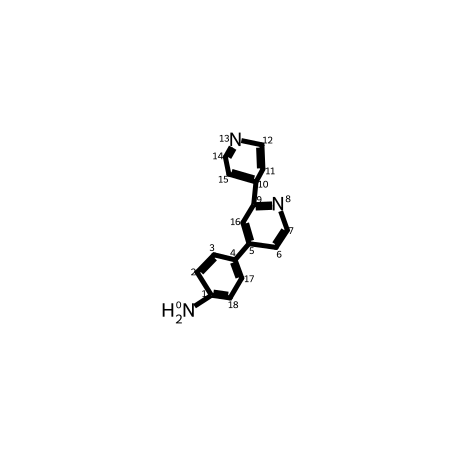 Nc1ccc(-c2ccnc(-c3ccncc3)c2)cc1